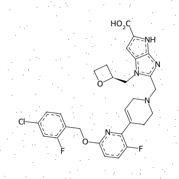 O=C(O)c1cc2c(nc(CN3CC=C(c4nc(OCc5ccc(Cl)cc5F)ccc4F)CC3)n2C[C@@H]2CCO2)[nH]1